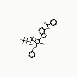 CC[C@]1(C2(O[Si](C)(C)C(C)(C)C)CC2)O[C@@H](n2cnc3c(NC(=O)c4ccccc4)ncnc32)C(O)C1OCc1ccccc1